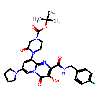 CC(C)(C)OC(=O)N1CCN(c2cc(N3CCCC3)cn3c(=O)c(O)c(C(=O)NCc4ccc(F)cc4)nc23)C(=O)C1